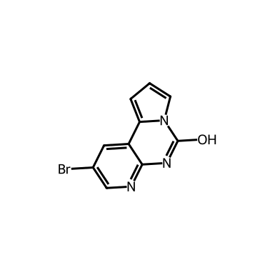 Oc1nc2ncc(Br)cc2c2cccn12